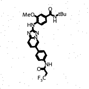 COc1cc(C(=O)NC(C)(C)C)ccc1Nc1nc2ccc(-c3ccc(NC(=O)CC(F)(F)F)cc3)cn2n1